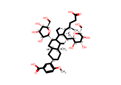 COc1ccc(C(=O)O)cc1[C@@H]1CC[C@]2(C)C3C[C@@H]([C@@H]4O[C@H](CO)[C@@H](O)[C@H](O)[C@H]4O)[C@@]4(C)C(CC[C@@H]4[C@H](C)CCC(=O)O)C3[C@@H](C3O[C@H](CO)[C@@H](O)[C@H](O)[C@H]3O)C[C@@H]2C1